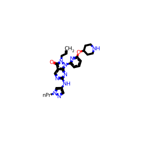 C=CCn1c(=O)c2cnc(Nc3cnn(CCC)c3)nc2n1-c1cccc(OC2CCNCC2)n1